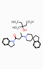 CC(CC(=O)N1CCc2ccccc21)N1CCC2(CCc3ccccc32)CC1.O=C(O)CC(O)(CC(=O)O)C(=O)O